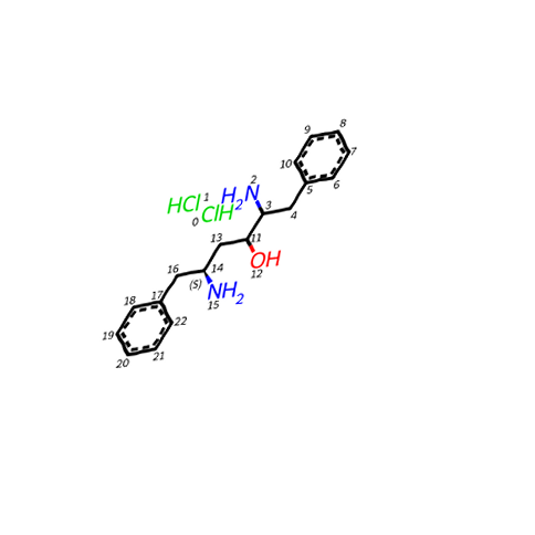 Cl.Cl.NC(Cc1ccccc1)C(O)C[C@@H](N)Cc1ccccc1